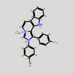 Fc1ccc(-c2c3c4[nH]c5ccccc5c4cc[n+]3cn2-c2ccc(Br)cc2)cc1.[Cl-]